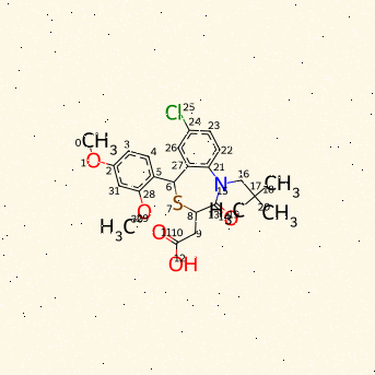 COc1ccc(C2SC(CC(=O)O)C(=O)N(CC(C)(C)C)c3ccc(Cl)cc32)c(OC)c1